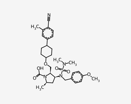 COc1ccc(CN([C@H]2C[C@@H](C)N(C(=O)O)[C@H]2COC2CCC(c3ccc(C#N)c(C)c3)CC2)S(=O)(=O)N(C)C)cc1